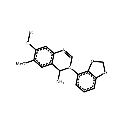 CCOc1cc2c(cc1OC)C(N)N(c1cccc3c1OCO3)C=N2